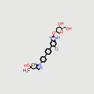 CC(C)(O)Cc1cnn(-c2ccc(-c3ccc(-c4cc5nc(O[C@H]6CO[C@H](CO)[C@@H](O)C6)[nH]c5cc4Cl)cc3)cc2)c1